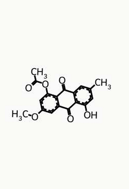 COc1cc(OC(C)=O)c2c(c1)C(=O)c1c(O)cc(C)cc1C2=O